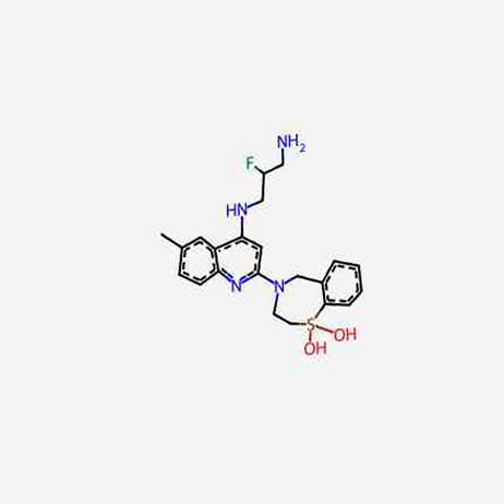 Cc1ccc2nc(N3CCS(O)(O)c4ccccc4C3)cc(NCC(F)CN)c2c1